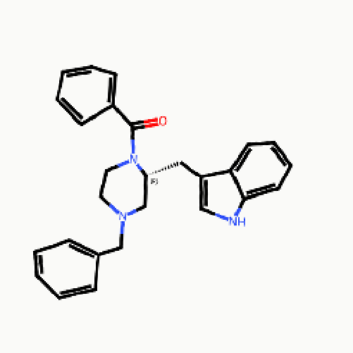 O=C(c1ccccc1)N1CCN(Cc2ccccc2)C[C@H]1Cc1c[nH]c2ccccc12